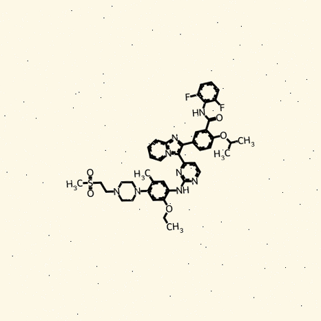 CCOc1cc(N2CCN(CCS(C)(=O)=O)CC2)c(C)cc1Nc1nccc(-c2c(-c3ccc(OC(C)C)c(C(=O)Nc4c(F)cccc4F)c3)nc3ccccn23)n1